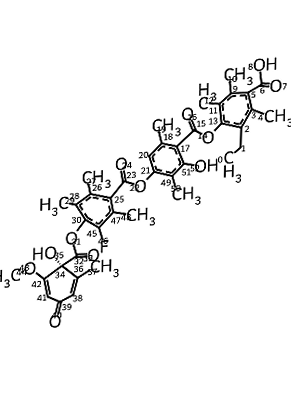 CCc1c(C)c(C(=O)O)c(C)c(C)c1OC(=O)c1c(C)cc(OC(=O)c2c(C)c(C)c(OC(=O)[C@@]3(O)C(C)=CC(=O)C=C3OC)c(F)c2C)c(C)c1O